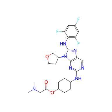 CN(C)CC(=O)OC1CCC(Nc2ncc3nc(Nc4c(F)cc(F)cc4F)n([C@H]4CCOC4)c3n2)CC1